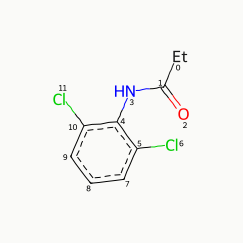 CCC(=O)Nc1c(Cl)cccc1Cl